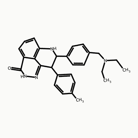 CCN(CC)Cc1ccc(C2Nc3cccc4c(=O)[nH]nc(c34)C2c2ccc(C)cc2)cc1